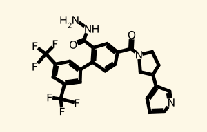 NNC(=O)c1cc(C(=O)N2CCC(c3cccnc3)C2)ccc1-c1cc(C(F)(F)F)cc(C(F)(F)F)c1